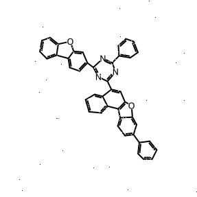 c1ccc(-c2ccc3c(c2)oc2cc(-c4nc(-c5ccccc5)nc(-c5ccc6c(c5)oc5ccccc56)n4)c4ccccc4c23)cc1